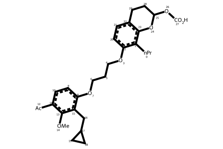 CCCc1c(OCCCOc2ccc(C(C)=O)c(OC)c2CC2CC2)ccc2c1OC(OC(=O)O)CC2